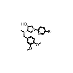 COc1ccc(CN(C)[C@H]2CN(c3ccc(Br)cn3)C[C@@H]2O)cc1OC